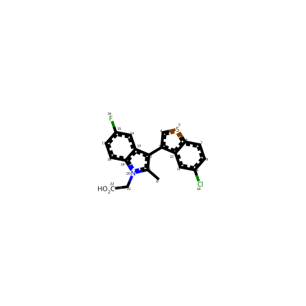 Cc1c(-c2csc3ccc(Cl)cc23)c2cc(F)ccc2n1CC(=O)O